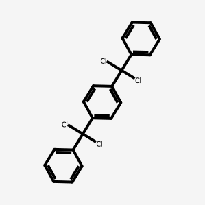 ClC(Cl)(c1ccccc1)c1ccc(C(Cl)(Cl)c2ccccc2)cc1